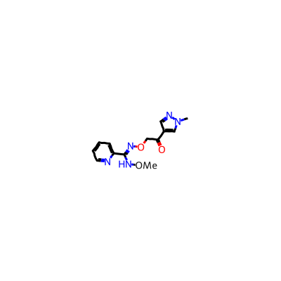 CONC(=NOCC(=O)c1cnn(C)c1)c1ccccn1